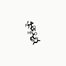 Cc1cc(C)n2ccc(C(=O)Nc3cc(C4(C(F)(F)F)CC4)on3)c2n1